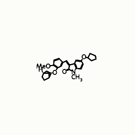 COc1ccc(/C=C2\C(=O)N(C)c3ccc(OC4CCCC4)cc32)cc1O[C@@H]1C[C@@H]2CCC1C2